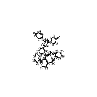 c1ccc(-c2nc(-c3ccccc3)nc(-c3cccc(-c4c5[nH]c6ccccc6c5cc5ccn(-c6ccccc6)c45)c3)n2)cc1